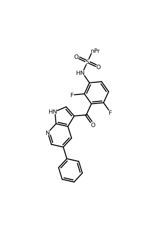 CCCS(=O)(=O)Nc1ccc(F)c(C(=O)c2c[nH]c3ncc(-c4ccccc4)cc23)c1F